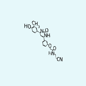 Cc1cc(-c2cc(-c3cccc(OCC(=O)NCCC#N)c3)[nH]c(=O)n2)ccc1O